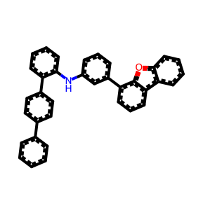 c1ccc(-c2ccc(-c3ccccc3Nc3cccc(-c4cccc5c4oc4ccccc45)c3)cc2)cc1